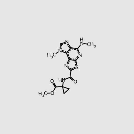 CNc1nc2sc(C(=O)NC3(C(=O)OC)CC3)nc2c2c1ncn2C